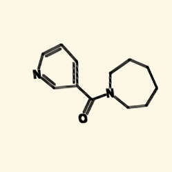 O=C(c1cccnc1)N1CCCCCC1